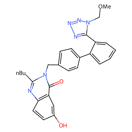 CCCCc1nc2ccc(O)cc2c(=O)n1Cc1ccc(-c2ccccc2-c2nnnn2COC)cc1